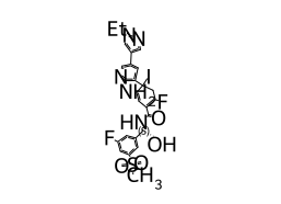 CCn1cc(-c2cnc(N)c(C3(I)C=CC(C(=O)N[C@H](CO)c4cc(F)cc(S(C)(=O)=O)c4)=C(F)C3)c2)cn1